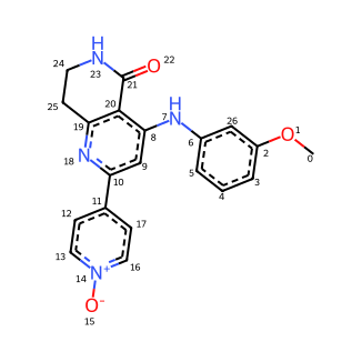 COc1cccc(Nc2cc(-c3cc[n+]([O-])cc3)nc3c2C(=O)NCC3)c1